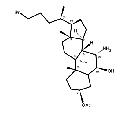 CC(=O)O[C@H]1CC[C@@]2(C)C(C1)[C@H](O)[C@@H](N)[C@H]1[C@@H]3CC[C@H]([C@H](C)CCCC(C)C)[C@@]3(C)CC[C@@H]12